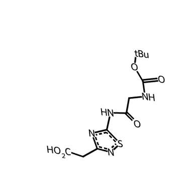 CC(C)(C)OC(=O)NCC(=O)Nc1nc(CC(=O)O)ns1